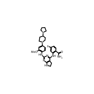 COc1cc(N2CCC(N3CCCC3)CC2)ccc1Nc1nc2c(c(Nc3cc(F)ccc3C(N)=O)n1)CCN2